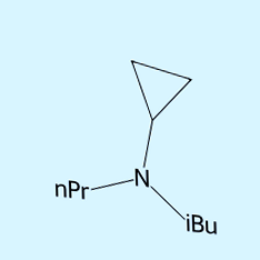 CCCN(C(C)CC)C1CC1